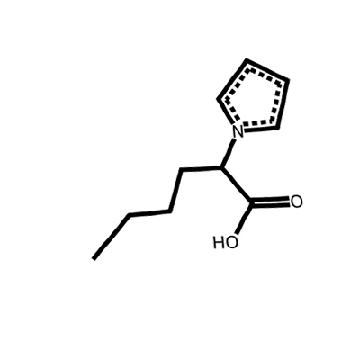 CCCCC(C(=O)O)n1cccc1